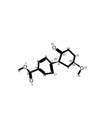 COC(=O)c1ccc([C@@H]2C[C@H](OC)CCC2=O)cc1